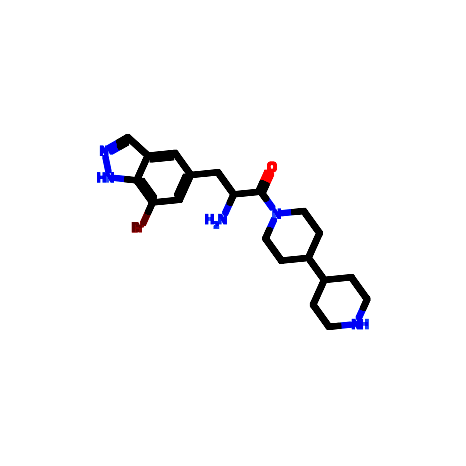 NC(Cc1cc(Br)c2[nH]ncc2c1)C(=O)N1CCC(C2CCNCC2)CC1